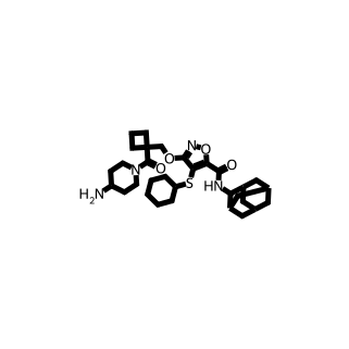 NC1CCN(C(=O)C2(COc3noc(C(=O)NC4C5CC6CC(C5)CC4C6)c3SC3CCCCC3)CCC2)CC1